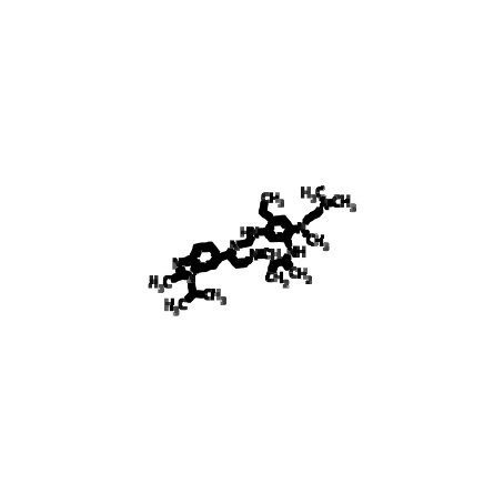 C=CC(=C)Nc1cc(NC/N=C(\C=C/N=C)c2ccc3nc(C)n(C(C)C)c3c2)c(CC)cc1N(C)CCN(C)C